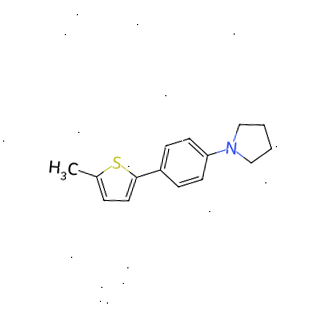 Cc1ccc(-c2ccc(N3CCCC3)cc2)s1